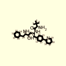 CC(C)(C)[C@H](N)C(=O)NN(Cc1ccc(-c2ccccn2)cc1)C[C@H](O)[C@@H](N)Cc1ccccc1